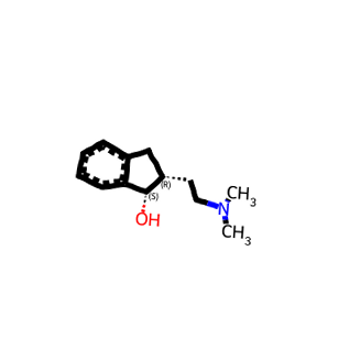 CN(C)CC[C@H]1Cc2ccccc2[C@H]1O